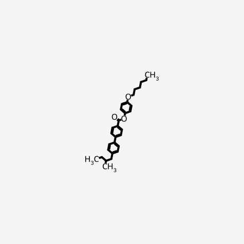 CCCCCCOc1ccc(OC(=O)c2ccc(-c3ccc(CC(C)CC)cc3)cc2)cc1